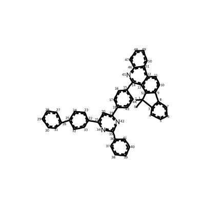 CC1(C)c2ccccc2-c2ccc3c(c(-c4ccc(-c5cc(-c6ccc(-c7ccccc7)cc6)nc(-c6ccccc6)n5)cc4)nc4ccccc43)c21